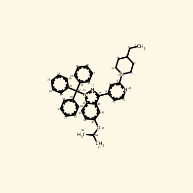 CCC1CCN(c2cc(-c3nn(C(c4ccccc4)(c4ccccc4)c4ccccc4)c4ccc(OC(C)C)cc34)ccn2)CC1